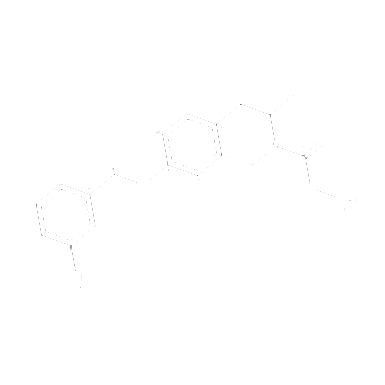 CC(Cc1ccc(OCc2cccc(Cl)c2)cc1)N(C)C(=O)OC(C)(C)C